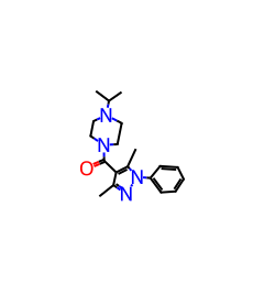 Cc1nn(-c2ccccc2)c(C)c1C(=O)N1CCN(C(C)C)CC1